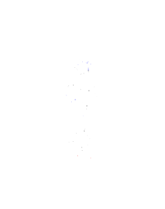 FC(F)(F)Cn1cc(-c2ccnc3c(NCc4ccc5c(c4)OCO5)cccc23)cn1